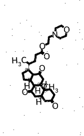 CC(CCC(=O)OCCN1CCOCC1)[C@H]1CC[C@@H]2C1C(=O)C[C@H]1[C@H]2C(=O)C[C@@H]2CC(=O)CC[C@@]21C